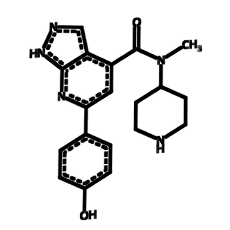 CN(C(=O)c1cc(-c2ccc(O)cc2)nc2[nH]ncc12)C1CCNCC1